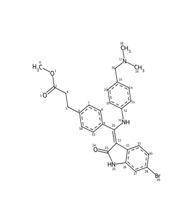 COC(=O)CCc1ccc(C(Nc2ccc(CN(C)C)cc2)=C2C(=O)Nc3cc(Br)ccc32)cc1